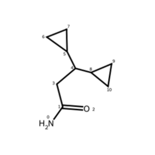 NC(=O)CC(C1CC1)C1CC1